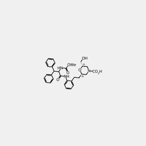 COC(=O)NC(C(=O)Nc1ccccc1CC[C@@H]1CN(C(=O)O)C[C@@H](CO)O1)C(c1ccccc1)c1ccccc1